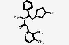 Cc1ccnc(CC(=O)N(C)C(CN2CCC(O)C2)c2ccccc2)c1N